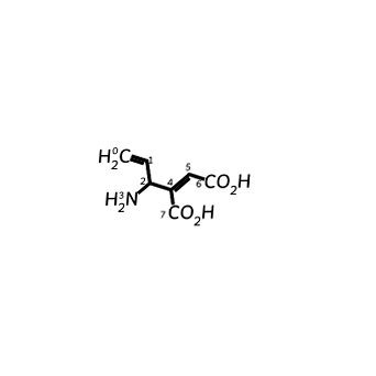 C=CC(N)/C(=C/C(=O)O)C(=O)O